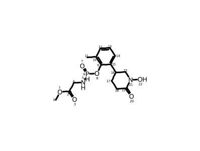 COC(=O)CN[PH](=O)Oc1c(C)cccc1C1CCC(=O)N(O)C1